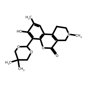 Cc1cc2c3c(c(=O)oc2c(C2OCC(C)(C)CO2)c1O)CN(C)CC3